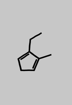 CCC1=CCC=C1C